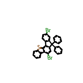 Brc1ccc2c(c1)C(c1ccccc1)(c1ccccc1)c1cc(Br)c3c(sc4ccccc43)c1-2